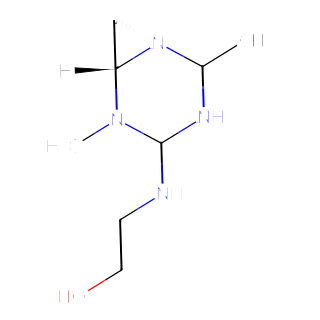 CC1NC(NCCO)N(C)[C@@H]2C[N@]12